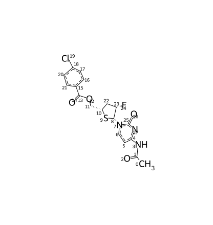 CC(=O)Nc1ccn([C@@H]2S[C@H](COC(=O)c3ccc(Cl)cc3)C[C@@H]2F)c(=O)n1